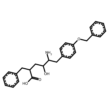 NC(Cc1ccc(OCc2ccccc2)cc1)C(O)CC(Cc1ccccc1)C(=O)O